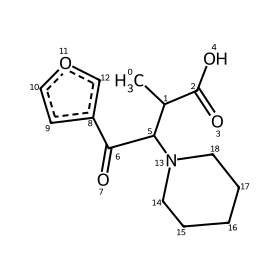 CC(C(=O)O)C(C(=O)c1ccoc1)N1CCCCC1